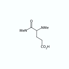 CNC(=O)C(CCC(=O)O)NC